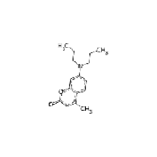 CCCN(CCC)c1ccc2c(C)cc(=O)oc2c1